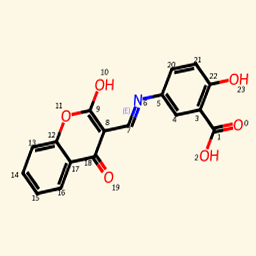 O=C(O)c1cc(/N=C/c2c(O)oc3ccccc3c2=O)ccc1O